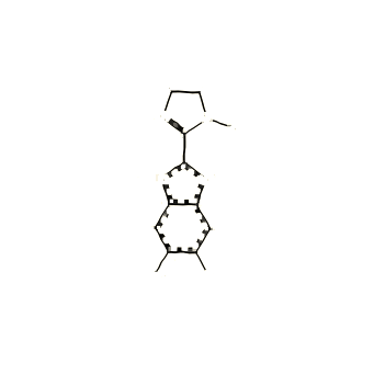 Cl.NN1CCN=C1c1nc2cc(Cl)c(Cl)cc2[nH]1